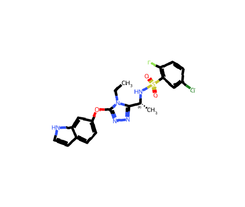 CCn1c(Oc2ccc3cc[nH]c3c2)nnc1[C@@H](C)NS(=O)(=O)c1cc(Cl)ccc1F